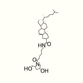 CC(C)CCC[C@@H](C)[C@H]1CCC2C3CC=C4CC(C(=O)NCCCCCC(=O)N5CC(O)C[C@H]5CO)CC[C@]4(C)C3CC[C@@]21C